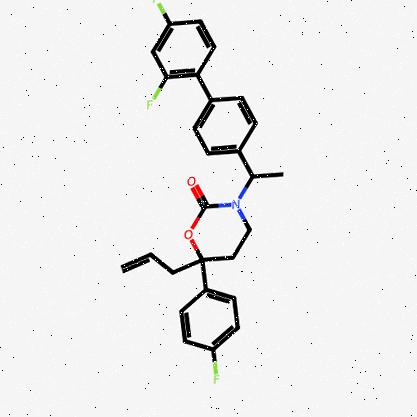 C=CCC1(c2ccc(F)cc2)CCN(C(C)c2ccc(-c3ccc(F)cc3F)cc2)C(=O)O1